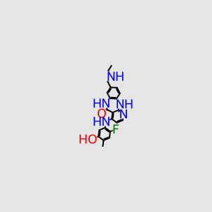 CCNCc1ccc2c(c1)NC(=O)c1c(Nc3cc(O)c(C)cc3F)ccnc1N2